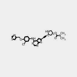 CN(C)C(=O)O[C@H]1CN[C@H](C#Cc2cc3c(Nc4ccc(OCc5cscn5)c(Cl)c4)ncnc3s2)C1